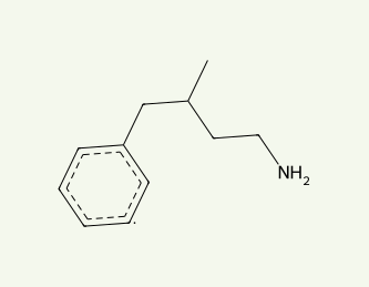 CC(CCN)Cc1c[c]ccc1